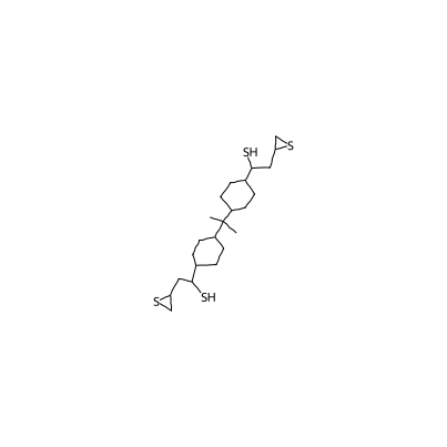 CC(C)(C1CCC(C(S)CC2CS2)CC1)C1CCC(C(S)CC2CS2)CC1